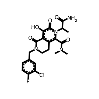 CC(C(N)=O)n1c(C(=O)N(C)C)c2c(c(O)c1=O)C(=O)N(Cc1ccc(F)c(Cl)c1)CC2